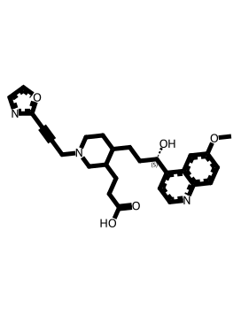 COc1ccc2nccc([C@@H](O)CCC3CCN(CC#Cc4ncco4)CC3CCC(=O)O)c2c1